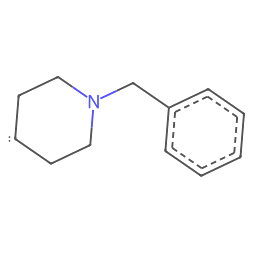 [C]1CCN(Cc2ccccc2)CC1